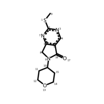 CSc1ncc2c(n1)CN(C1CCOCC1)C2=O